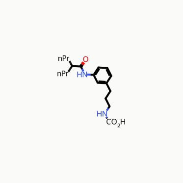 CCCC(CCC)C(=O)Nc1cccc(CCCNC(=O)O)c1